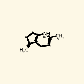 C=C1CCC2=C1CC=C(C)N2